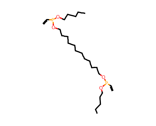 C=CP(OCCCCC)OCCCCCCCCCCCCOP(C=C)OCCCCC